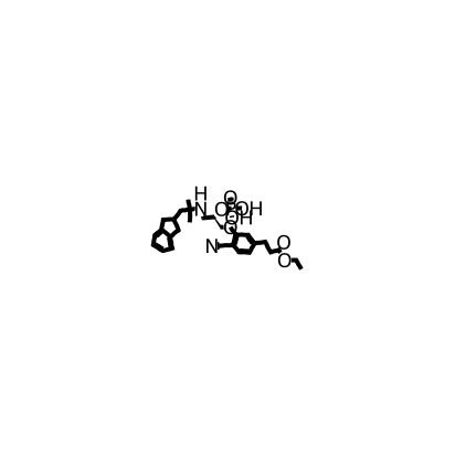 CCOC(=O)CCc1ccc(C#N)c(OC[C@@H](CNC(C)(C)CC2Cc3ccccc3C2)OP(=O)(O)O)c1